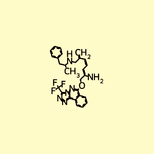 C=C(/C=C\C=C(/N)COc1nn2c(C(F)(F)F)nnc2c2ccccc12)CNC(C)Cc1ccccc1